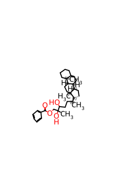 C[C@H](CCC(O)C(C)(O)COC(=O)c1ccccc1)[C@H]1CC[C@H]2[C@@H]3CC=C4CCCC[C@]4(C)[C@H]3CC[C@]12C